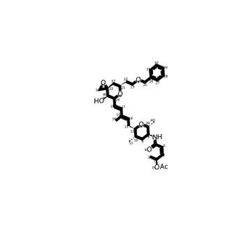 CC(=O)O[C@@H](C)/C=C\C(=O)N[C@@H]1C[C@H](C)[C@H](C/C=C(C)/C=C/C2O[C@@H](CCOCc3ccccc3)C[C@]3(CO3)[C@H]2O)O[C@@H]1C